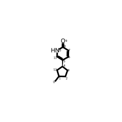 CC1CC[C@H](c2ccc(=O)[nH]c2)C1